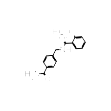 NC(=O)c1ccc(CNC(=O)c2ccccc2C(=O)O)cc1